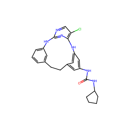 O=C(Nc1cc2cc(c1)Nc1nc(ncc1Cl)Nc1cccc(c1)CC2)NC1CCCC1